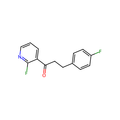 O=C(CCc1ccc(F)cc1)c1cccnc1F